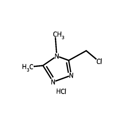 Cc1nnc(CCl)n1C.Cl